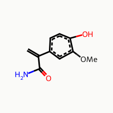 C=C(C(N)=O)c1ccc(O)c(OC)c1